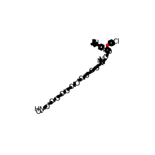 Cc1cc(C2CCC(N3CC(COCc4cn(CCOCCOCCOCCOCCOCCOCCOCCOCCOCCOCCOCCNC=O)nn4)OCC3Cc3ccc(Cl)cc3)CC2)nn1C